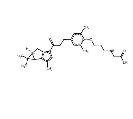 Cc1cc(CCC(=O)n2nc(C)c3c2C[C@H]2C3C2(C)C)cc(C)c1OCCCNCC(=O)O